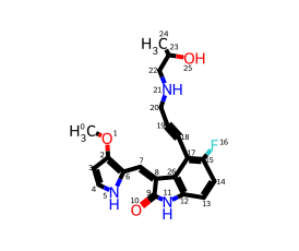 COc1cc[nH]c1C=C1C(=O)Nc2ccc(F)c(C#CCNCC(C)O)c21